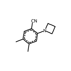 Cc1cc(C#N)c(N2CCC2)cc1C